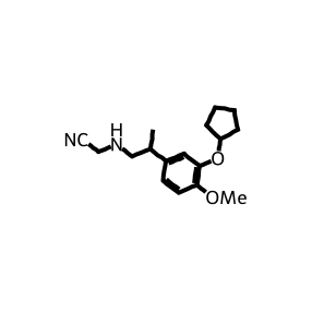 COc1ccc(C(C)CNCC#N)cc1OC1CCCC1